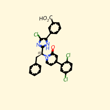 O=C(O)c1cccc(-c2[nH]c([C@H](Cc3ccccc3)n3ccc(-c4cc(Cl)ccc4Cl)cc3=O)nc2Cl)c1